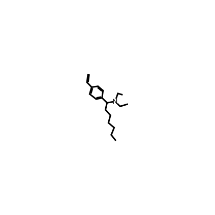 C=Cc1ccc(C(CCCCCC)N(CC)CC)cc1